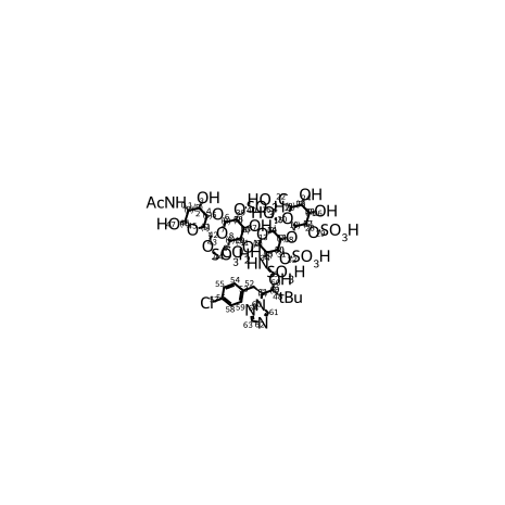 CC(=O)N[C@@H]1[C@@H](O)[C@H](O[C@@H]2O[C@H](C(=O)O)[C@@H](O[C@@H]3O[C@H](CO)[C@@H](O[C@H]4O[C@@H](C(=O)O)[C@H](O)[C@@H](O)[C@@H]4OS(=O)(=O)O)[C@H](OS(=O)(=O)O)[C@H]3NS(=O)(=O)O)[C@H](O)[C@H]2OS(=O)(=O)O)[C@H](COS(=O)(=O)O)O[C@H]1O.CC(C)(C)[C@H](O)[C@H](Cc1ccc(Cl)cc1)n1cncn1